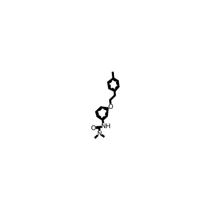 Cc1ccc(CCOc2cccc(NC(=O)N(C)C)c2)cc1